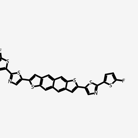 Fc1ccc(-c2ncc(-c3cc4cc5cc6sc(-c7cnc(-c8ccc(F)s8)s7)cc6cc5cc4s3)s2)s1